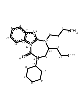 CCCCN1c2nc3ccccc3n2C(=O)N(C2CCCCC2)CC1CCCl